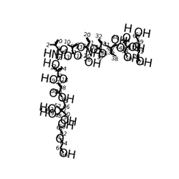 C=C(C)C(=O)NCO.C=C(C)C(=O)O.C=C(C)C(=O)O.C=CC(=O)NCO.C=CC(=O)O.C=CC(=O)OC.CC=C(C)C(=O)O.CCC(CO)(CO)CO.OCC(O)CO.OCCOCCO.OCCOCCO